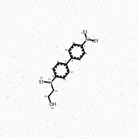 CCN(CC)c1ccc(-c2ccc(N(CC)CCO)cc2)cc1